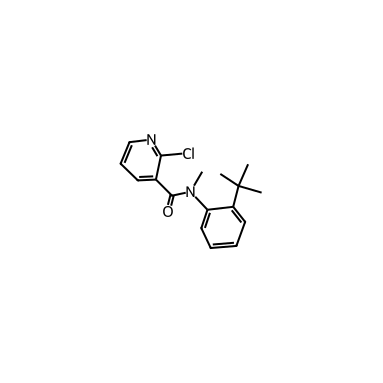 CN(C(=O)c1cccnc1Cl)c1ccccc1C(C)(C)C